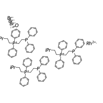 CC(C)CC[P+](CCP(c1ccccc1)c1ccccc1)(c1ccccc1)c1ccccc1.CC(C)CC[P+](CCP(c1ccccc1)c1ccccc1)(c1ccccc1)c1ccccc1.CC(C)CC[P+](CCP(c1ccccc1)c1ccccc1)(c1ccccc1)c1ccccc1.[Br-].[Br-].[Br-].[C]=O.[Rh+2]